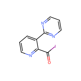 O=C(I)c1ncccc1-c1ncccn1